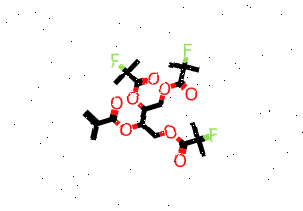 C=C(C)C(=O)OC(COC(=O)C(C)(C)F)C(COC(=O)C(C)(C)F)OC(=O)C(C)(C)F